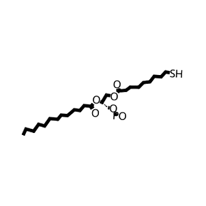 CCCCCCCCCCCCC(=O)O[C@@H](COP=O)COC(=O)CCCCCCCCS